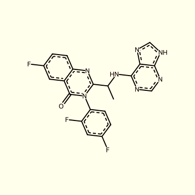 CC(Nc1ncnc2[nH]cnc12)c1nc2ccc(F)cc2c(=O)n1-c1ccc(F)cc1F